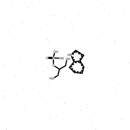 O=P(O)(O)OC(CO)CO.c1ccc2[nH]ccc2c1